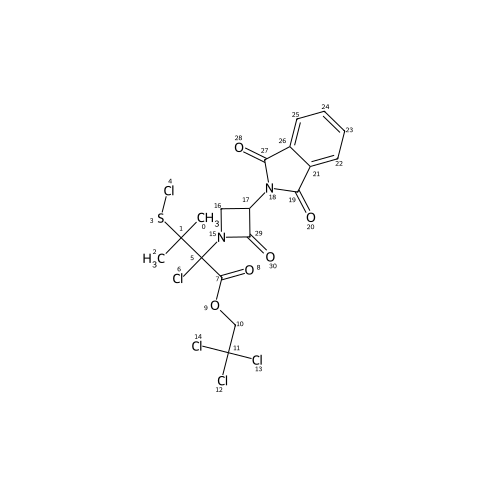 CC(C)(SCl)C(Cl)(C(=O)OCC(Cl)(Cl)Cl)N1CC(N2C(=O)c3ccccc3C2=O)C1=O